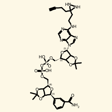 C#CCCC1(CCNc2ncnc3c2ncn3[C@H]2O[C@@H](COP(=O)(O)OP(=O)(O)OC[C@H]3O[C@@H](c4cccc(C(N)=O)c4)C4OC(C)(C)OC43)C3OC(C)(C)OC32)NN1